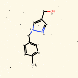 Cc1ccc(Cn2cc(CO)cn2)cc1